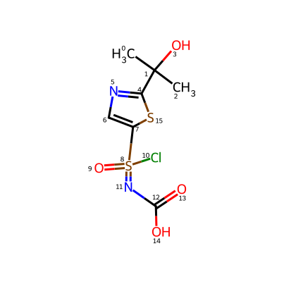 CC(C)(O)c1ncc(S(=O)(Cl)=NC(=O)O)s1